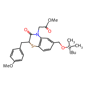 COC(=O)CN1C(=O)C(Cc2ccc(OC)cc2)Sc2ccc(CO[Si](C)(C)C(C)(C)C)cc21